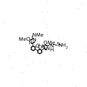 CNCc1ncc(-c2cccc(-c3cccc(-c4cnc(CNCCSN)c(OC)n4)c3C)c2Cl)nc1OC